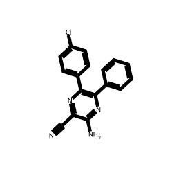 N#Cc1nc(-c2ccc(Cl)cc2)c(-c2ccccc2)nc1N